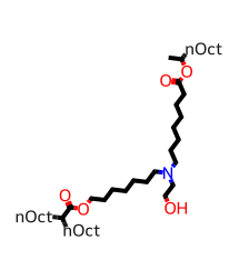 CCCCCCCCC(C)OC(=O)CCCCCCCN(CCO)CCCCCCCOC(=O)C(CCCCCCCC)CCCCCCCC